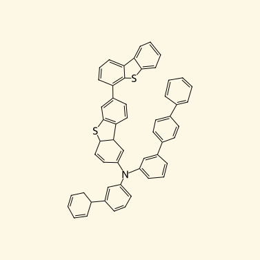 C1=CCC(c2cccc(N(C3=CC4c5ccc(-c6cccc7c6sc6ccccc67)cc5SC4C=C3)c3cccc(-c4ccc(-c5ccccc5)cc4)c3)c2)C=C1